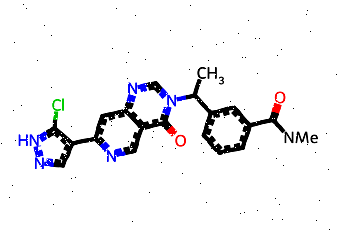 CNC(=O)c1cccc(C(C)n2cnc3cc(-c4cn[nH]c4Cl)ncc3c2=O)c1